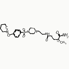 C[C@@H](C[CH]C(=O)NCCN1CCN(S(=O)(=O)c2ccc(ON3CCCCC3)cc2)CC1)C(N)=O